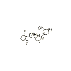 COc1cccc(F)c1C1=CNC(c2cc(C)nc(N3CCNC[C@H]3CO)n2)C1